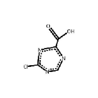 O=C(O)c1ncnc(Cl)n1